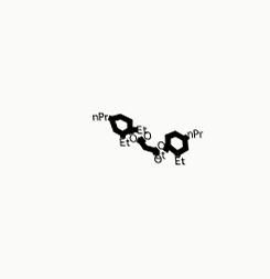 CCCC1CCC(CC)(OC(=O)CC(=O)OC2(CC)CCC(CCC)CC2CC)C(CC)C1